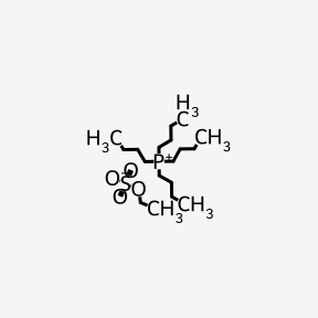 CCCC[P+](CCCC)(CCCC)CCCC.CCOS(=O)(=O)[O-]